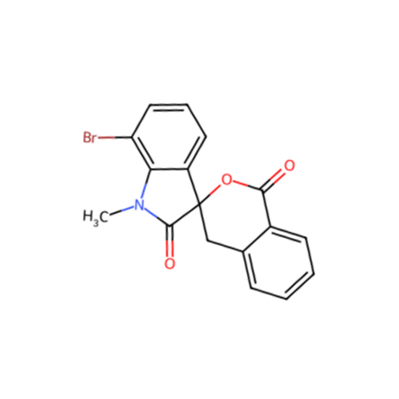 CN1C(=O)C2(Cc3ccccc3C(=O)O2)c2cccc(Br)c21